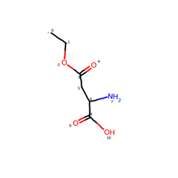 [CH2]COC(=O)CC(N)C(=O)O